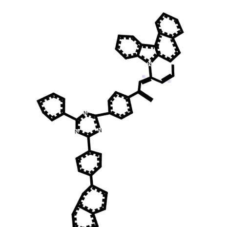 C=C(/C=C(\C=C/C)n1c2ccccc2c2c3ccccc3ccc21)c1ccc(-c2nc(-c3ccccc3)nc(-c3ccc(-c4ccc5ccccc5c4)cc3)n2)cc1